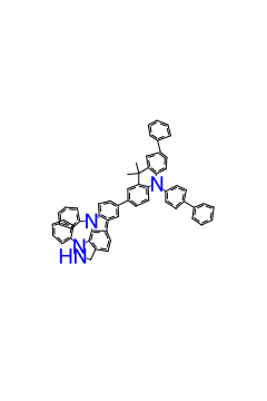 CC1(C)c2cc(-c3ccccc3)ccc2N(c2ccc(-c3ccccc3)cc2)c2ccc(-c3ccc4c(c3)c3ccc5c(c3n4-c3ccccc3)N(c3ccccc3)NC5)cc21